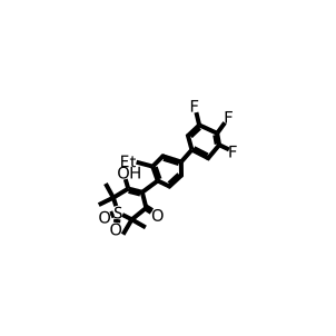 CCc1cc(-c2cc(F)c(F)c(F)c2)ccc1C1=C(O)C(C)(C)S(=O)(=O)C(C)(C)C1=O